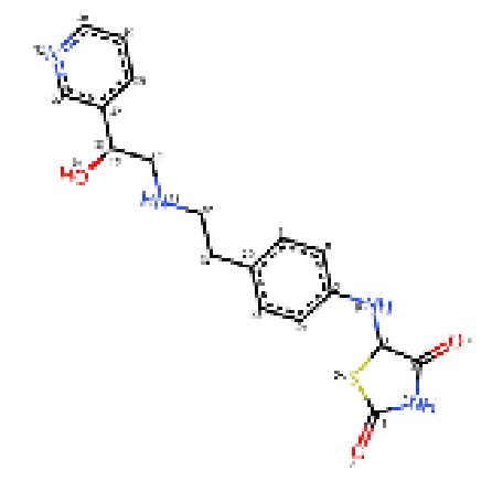 O=C1NC(=O)C(Nc2ccc(CCNC[C@@H](O)c3cccnc3)cc2)S1